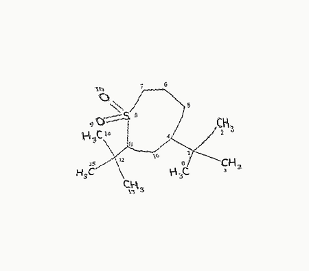 CC(C)(C)C1CCCS(=O)(=O)C(C(C)(C)C)C1